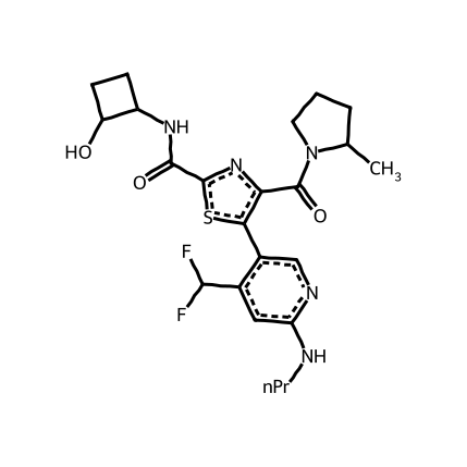 CCCNc1cc(C(F)F)c(-c2sc(C(=O)NC3CCC3O)nc2C(=O)N2CCCC2C)cn1